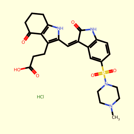 CN1CCN(S(=O)(=O)c2ccc3c(c2)/C(=C/c2[nH]c4c(c2CCC(=O)O)C(=O)CCC4)C(=O)N3)CC1.Cl